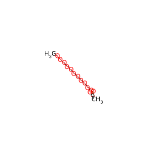 CCCOCCOCCOCCOCCOCCOCCOCCOCCOCCOCCOS(=O)(=O)c1ccc(C)cc1